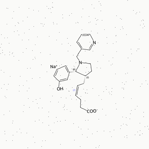 O=C([O-])CC/C=C\C[C@H]1CCN(Cc2cccnc2)[C@H]1c1cccc(O)c1.[Na+]